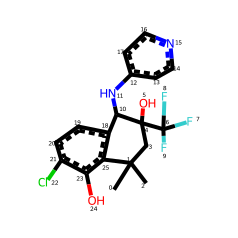 CC1(C)CC(O)(C(F)(F)F)C(Nc2ccncc2)c2ccc(Cl)c(O)c21